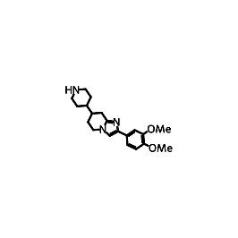 COc1ccc(-c2cn3c(n2)CC(C2CCNCC2)CC3)cc1OC